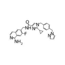 Nc1nccc2cc(CNC(=O)c3cn(Cc4ccc(Cn5cccn5)cc4)c(C4CC4)n3)c(F)cc12